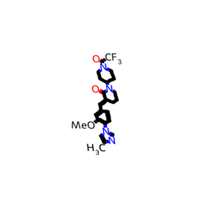 COc1cc(/C=C2\CCCN(C3CCN(C(=O)C(F)(F)F)CC3)C2=O)ccc1-n1cnc(C)c1